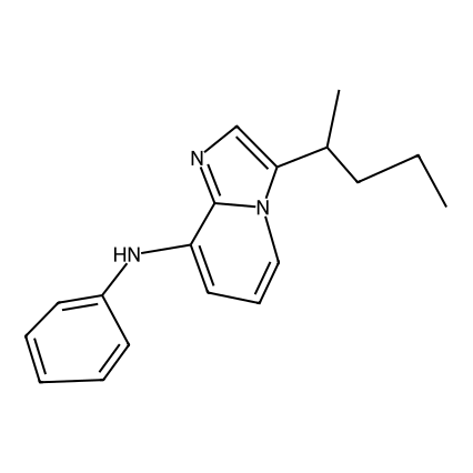 CCCC(C)c1cnc2c(Nc3ccccc3)cccn12